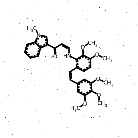 COc1cc(/C=C\c2ccc(OC)c(OC)c2N/C=C\C(=O)c2cn(C)c3ccccc23)cc(OC)c1OC